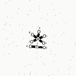 [O]=[Ti]=[O].[O]=[V](=[O])(=[O])(=[O])=[O]